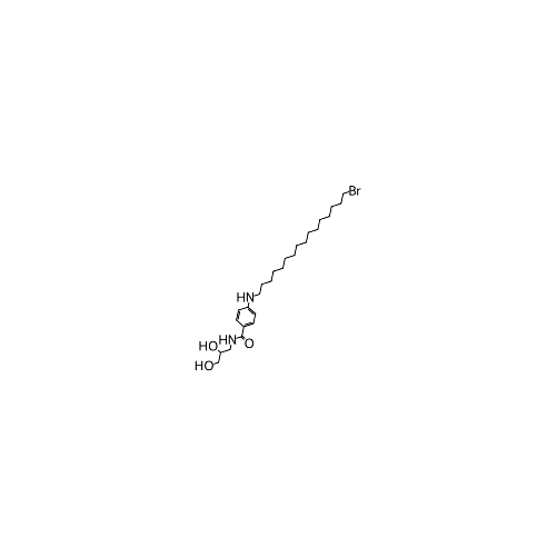 O=C(NCC(O)CO)c1ccc(NCCCCCCCCCCCCCCCCBr)cc1